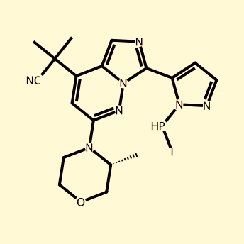 C[C@@H]1COCCN1c1cc(C(C)(C)C#N)c2cnc(-c3ccnn3PI)n2n1